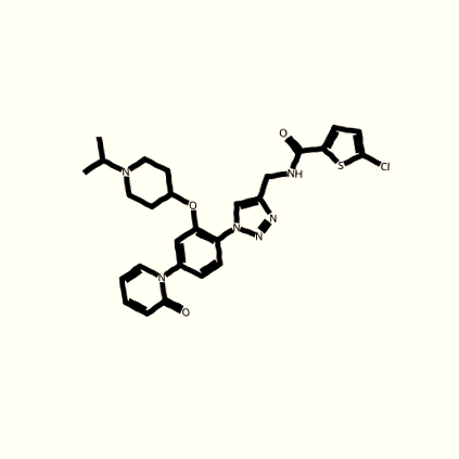 CC(C)N1CCC(Oc2cc(-n3ccccc3=O)ccc2-n2cc(CNC(=O)c3ccc(Cl)s3)nn2)CC1